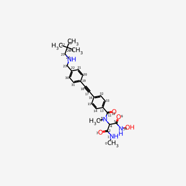 CNC(=O)C(C(=O)NO)N(C)C(=O)c1ccc(C#Cc2ccc(CNCC(C)(C)C)cc2)cc1